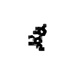 O=c1ccn([C@@H]2O[C@](F)(CO)[C@@H](O)[C@@H]2CF)c(=O)[nH]1